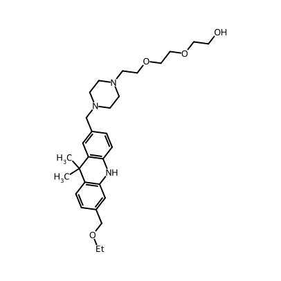 CCOCc1ccc2c(c1)Nc1ccc(CN3CCN(CCOCCOCCO)CC3)cc1C2(C)C